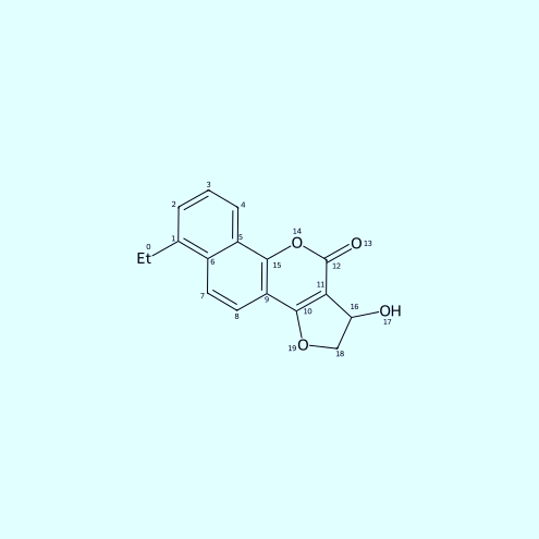 CCc1cccc2c1ccc1c3c(c(=O)oc12)C(O)CO3